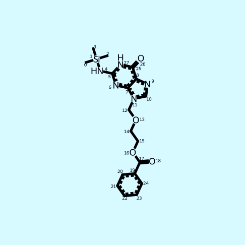 C[Si](C)(C)Nc1nc2c(ncn2COCCOC(=O)c2ccccc2)c(=O)[nH]1